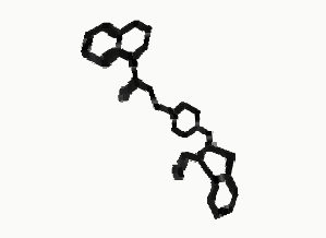 O=CC1c2ccccc2CN1CC1CCN(CCC(=O)N2CCCc3ccccc32)CC1